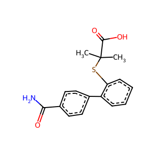 CC(C)(Sc1ccccc1-c1ccc(C(N)=O)cc1)C(=O)O